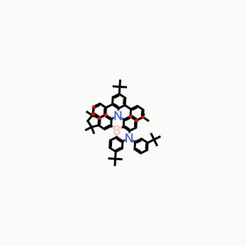 CC(C)c1cc2c3c(c1)N(c1c(-c4ccccc4)cc(C(C)(C)C)cc1-c1ccccc1)c1cc4c(cc1B3c1ccc(C(C)(C)C)cc1N2c1cccc(C(C)(C)C)c1)C(C)(C)CC4(C)C